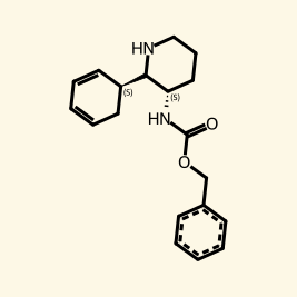 O=C(N[C@H]1CCCNC1[C@@H]1C=CC=CC1)OCc1ccccc1